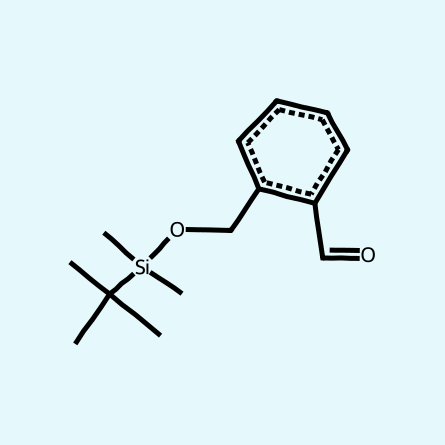 CC(C)(C)[Si](C)(C)OCc1ccccc1C=O